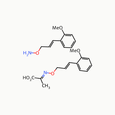 COc1ccccc1C=CCON.COc1ccccc1C=CCON=C(C)C(=O)O